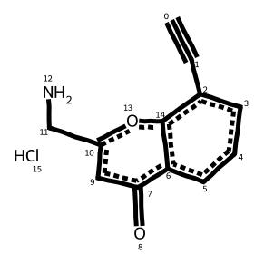 C#Cc1cccc2c(=O)cc(CN)oc12.Cl